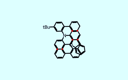 CC(C)(C)c1ccc(C2=CCCC=C2)c(N(c2ccccc2-c2cccc3cccc(-c4ccccc4)c23)c2cccc3c2oc2ccccc23)c1